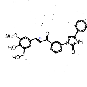 COc1cc(/C=C/C(=O)c2cccc(-n3cc(-c4ccccc4)[nH]c3=O)c2)cc(CO)c1O